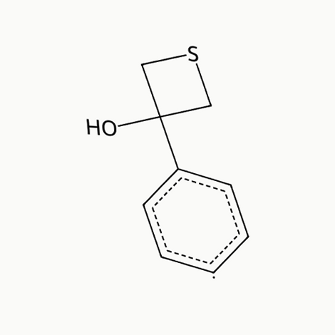 OC1(c2cc[c]cc2)CSC1